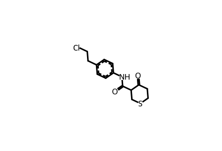 O=C1CCSCC1C(=O)Nc1ccc(CCCl)cc1